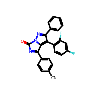 N#Cc1ccc(C2=NC(=O)n3nc(-c4ccccc4)c(-c4ccc(F)cc4F)c32)cc1